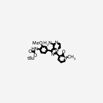 COc1cc(-c2nc(-c3cccn(C)c3=O)n3ccnc(N)c23)ccc1NC(=O)OC(C)(C)C